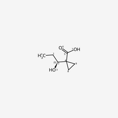 CC[C@H](O)C1(C(=O)O)CC1